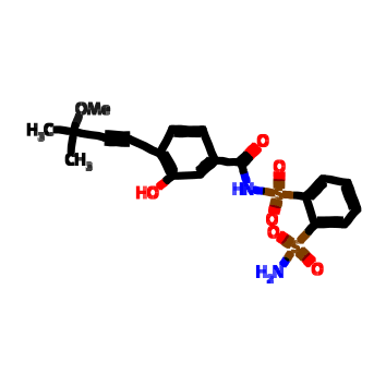 COC(C)(C)C#Cc1ccc(C(=O)NS(=O)(=O)c2ccccc2S(N)(=O)=O)cc1O